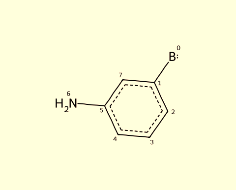 [B]c1cccc(N)c1